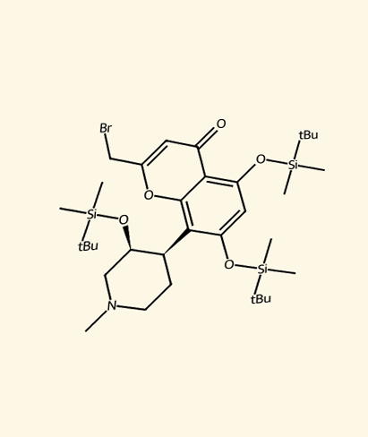 CN1CC[C@H](c2c(O[Si](C)(C)C(C)(C)C)cc(O[Si](C)(C)C(C)(C)C)c3c(=O)cc(CBr)oc23)[C@H](O[Si](C)(C)C(C)(C)C)C1